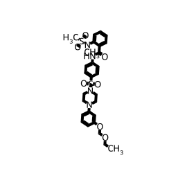 CCOCOc1cccc(N2CCN(S(=O)(=O)c3ccc(NC(=O)c4ccccc4N(C)S(C)(=O)=O)cc3)CC2)c1